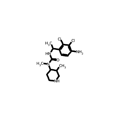 CC(NC(=O)N(C)C1CCNCC1C)c1ccc(N)c(Cl)c1Cl